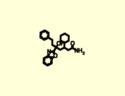 NC(=O)CC(CC(O)(CCc1ccccc1)c1nc2ccccc2o1)C1CCCCC1